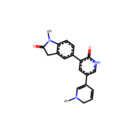 CCCN1C(=O)Cc2cc(-c3cc(C4=CN(C(C)C)CC=C4)c[nH]c3=O)ccc21